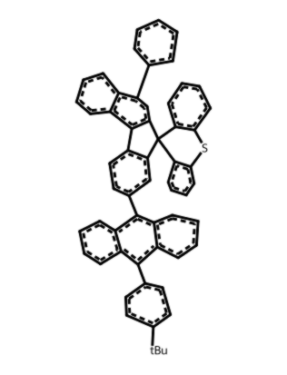 CC(C)(C)c1ccc(-c2c3ccccc3c(-c3ccc4c(c3)C3(c5ccccc5Sc5ccccc53)c3cc(-c5ccccc5)c5ccccc5c3-4)c3ccccc23)cc1